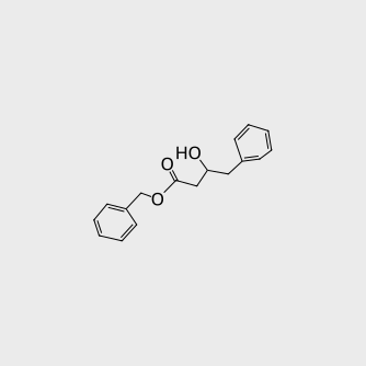 O=C(CC(O)Cc1ccccc1)OCc1ccccc1